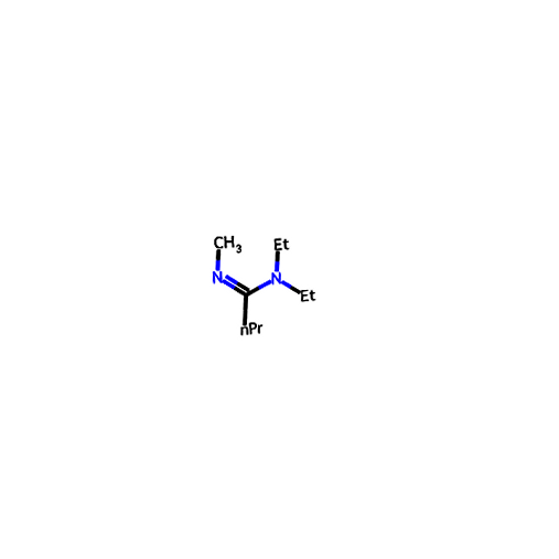 CCC/C(=N/C)N(CC)CC